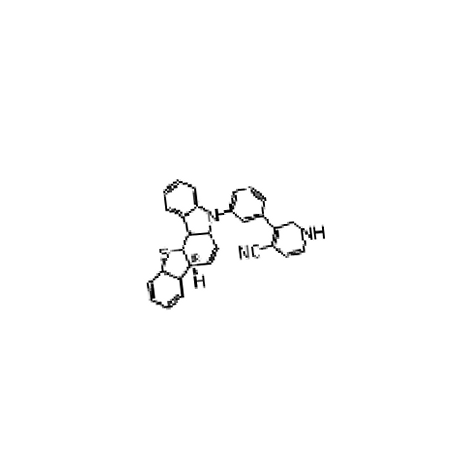 N#CC1=C(c2cccc(N3c4ccccc4C4C5SC6C=CC=CC6[C@H]5C=CC43)c2)CNC=C1